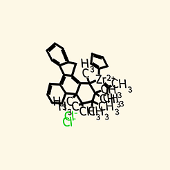 C[C](C)=[Zr+2]([C]1=CC=CC1)[C]1(C)C2=C3Cc4ccccc4C3=C3C=CCCC3C2(C)C(C)(C)C(C)(C)C1(C)C.[Cl-].[Cl-]